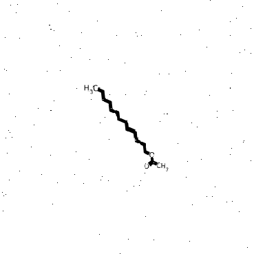 CCCCCCCCC=CCCCOC(C)=O